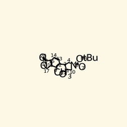 Cc1c(C2CN(C(=O)OC(C)(C)C)CC2=O)ccc2c1COC2=O